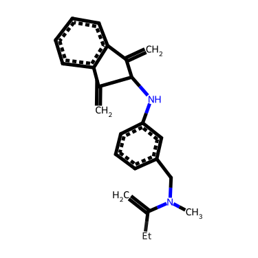 C=C1c2ccccc2C(=C)C1Nc1cccc(CN(C)C(=C)CC)c1